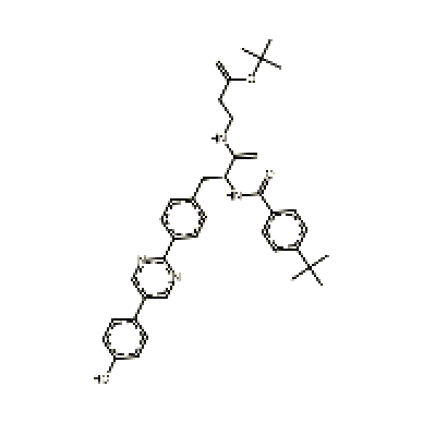 C=C(CCNC(=C)[C@H](Cc1ccc(-c2ncc(-c3ccc(O)cc3)cn2)cc1)NC(=O)c1ccc(C(C)(C)C)cc1)OC(C)(C)C